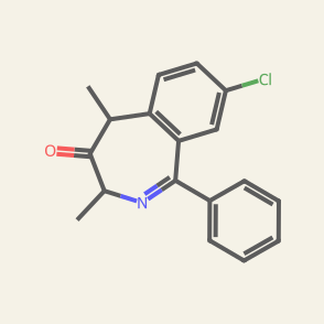 CC1N=C(c2ccccc2)c2cc(Cl)ccc2C(C)C1=O